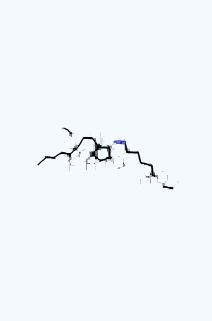 CCCCC(F)C1(OCC)CC[C@H]2[C@@H](CC(=O)[C@@H]2/C=C\CCCCC(=O)OCC)O1